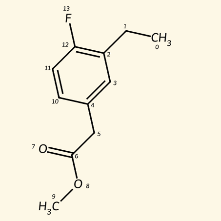 CCc1cc(CC(=O)OC)ccc1F